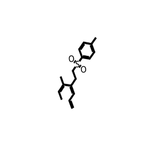 C=C/C=C(CCS(=O)(=O)c1ccc(C)cc1)\C(C)=C/C